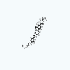 CCOCc1ccc(OCC2CCC(c3ccc(C4CCC(C)CC4)c(F)c3F)CC2)cc1F